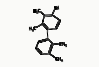 Cc1cccc(-c2ccc(S)c(C)c2C)c1C